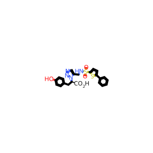 O=C(O)[C@@H](Cc1ccc(O)cc1)n1nncc1CNS(=O)(=O)c1ccc(-c2ccccc2)s1